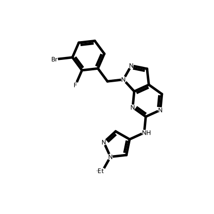 [CH2][CH]n1cc(Nc2ncc3cnn(Cc4cccc(Br)c4F)c3n2)cn1